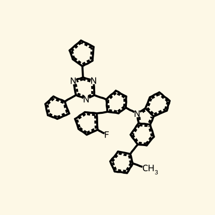 Cc1ccccc1-c1ccc2c3ccccc3n(-c3ccc(-c4nc(-c5ccccc5)nc(-c5ccccc5)n4)c(-c4ccccc4F)c3)c2c1